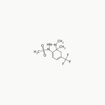 CN1NN(S(C)(=O)=O)C2=CC=C(C(F)(F)F)CC21C